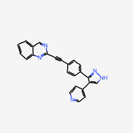 C(#Cc1ncc2ccccc2n1)c1ccc(-c2n[nH]cc2-c2ccncc2)cc1